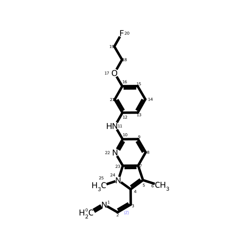 C=N/C=C\c1c(C)c2ccc(Nc3cccc(OCCF)c3)nc2n1C